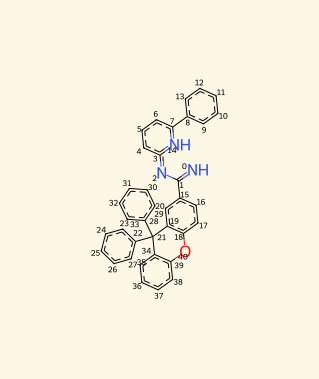 N=C(/N=c1/cccc(-c2ccccc2)[nH]1)c1ccc2c(c1)C(c1ccccc1)(c1ccccc1)c1ccccc1O2